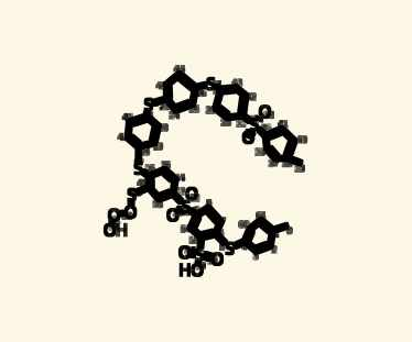 Cc1ccc(Sc2ccc(S(=O)(=O)c3ccc(Sc4ccc(Sc5ccc(Sc6ccc(S(=O)(=O)c7ccc(C)cc7)cc6)cc5)cc4)c(SOOO)c3)cc2S(=O)(=O)O)cc1